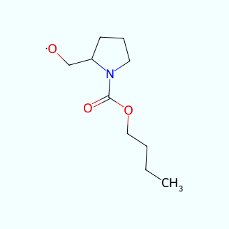 CCCCOC(=O)N1CCCC1C[O]